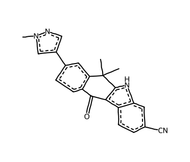 Cn1cc(-c2ccc3c(c2)C(C)(C)c2[nH]c4cc(C#N)ccc4c2C3=O)cn1